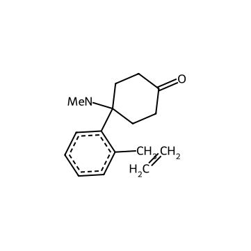 C=C.CNC1(c2ccccc2C)CCC(=O)CC1